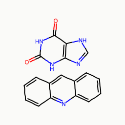 O=c1[nH]c(=O)c2[nH]cnc2[nH]1.c1ccc2nc3ccccc3cc2c1